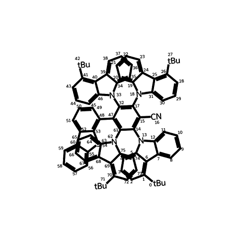 CC(C)(C)c1cccc2c1c1ccccc1n2-c1c(C#N)c(-n2c3ccccc3c3c(C(C)(C)C)cccc32)c(-n2c3ccccc3c3c(C(C)(C)C)cccc32)c(-c2cccc3c2sc2ccccc23)c1-n1c2ccccc2c2c(C(C)(C)C)cccc21